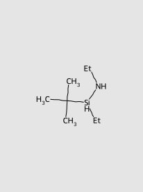 CCN[SiH](CC)C(C)(C)C